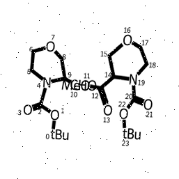 CC(C)(C)OC(=O)N1CCOCC1C=O.COC(=O)C1COCCN1C(=O)OC(C)(C)C